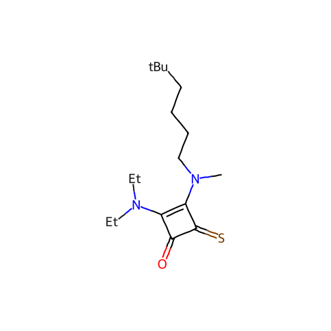 CCN(CC)c1c(N(C)CCCCC(C)(C)C)c(=S)c1=O